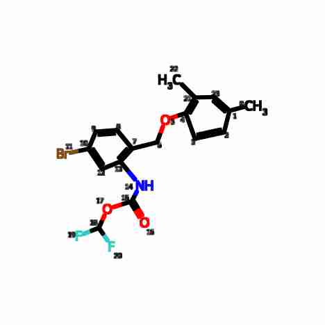 Cc1ccc(OCc2ccc(Br)cc2NC(=O)OC(F)F)c(C)c1